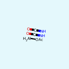 CC(=O)[O][AlH2].N=C=O.N=C=O